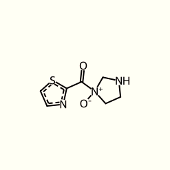 O=C(c1nccs1)[N+]1([O-])CCNC1